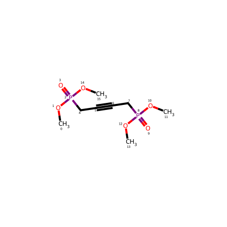 COP(=O)(CC#CCP(=O)(OC)OC)OC